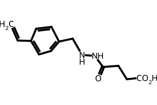 C=Cc1ccc(CNNC(=O)CCC(=O)O)cc1